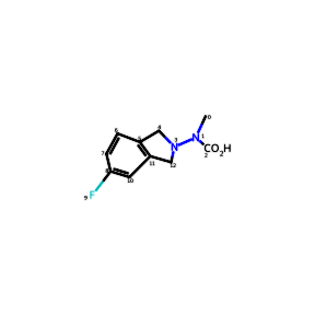 CN(C(=O)O)N1Cc2ccc(F)cc2C1